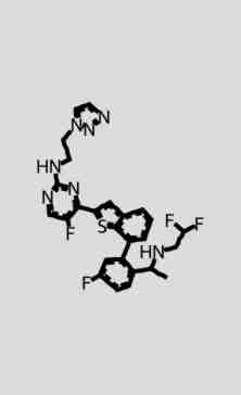 CC(NCC(F)F)c1ccc(F)cc1-c1cccc2cc(-c3nc(NCCn4ccnn4)ncc3F)sc12